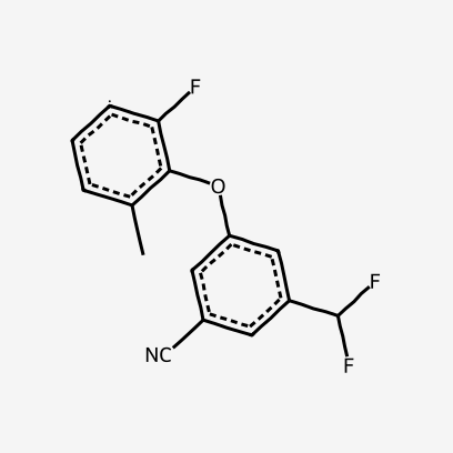 Cc1cc[c]c(F)c1Oc1cc(C#N)cc(C(F)F)c1